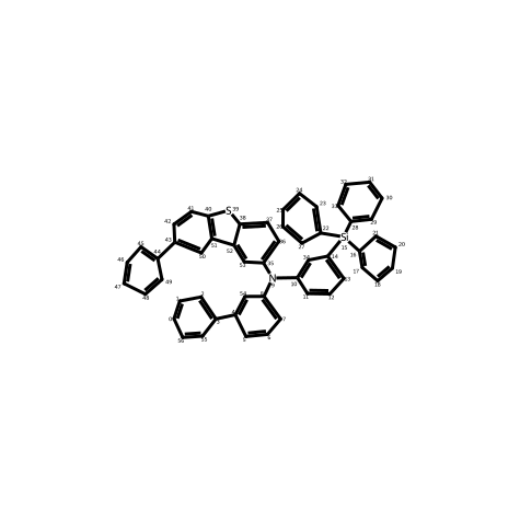 c1ccc(-c2cccc(N(c3cccc([Si](c4ccccc4)(c4ccccc4)c4ccccc4)c3)c3ccc4sc5ccc(-c6ccccc6)cc5c4c3)c2)cc1